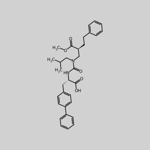 COC(=O)[C@@H](CCc1ccccc1)CN(CC(C)C)C(=O)N[C@@H](Cc1ccc(-c2ccccc2)cc1)C(=O)O